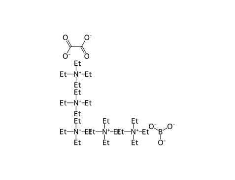 CC[N+](CC)(CC)CC.CC[N+](CC)(CC)CC.CC[N+](CC)(CC)CC.CC[N+](CC)(CC)CC.CC[N+](CC)(CC)CC.O=C([O-])C(=O)[O-].[O-]B([O-])[O-]